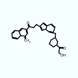 C=C1C=C(C(=O)CCC2=CC3C=C(CC4CCCC(C(=O)CO)C4)C=CC3=C2)C=C2C=CC=CC12